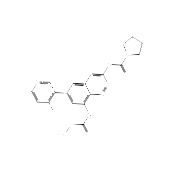 CCc1ccncc1-c1cc(NC(=O)OC(C)(C)C)c2nnc(NC(=O)N3CCCC3)cc2c1